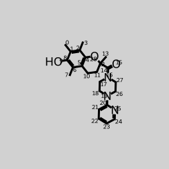 Cc1c(C)c2c(c(C)c1O)CCC(C)(C(=O)N1CCN(c3ccccn3)CC1)O2